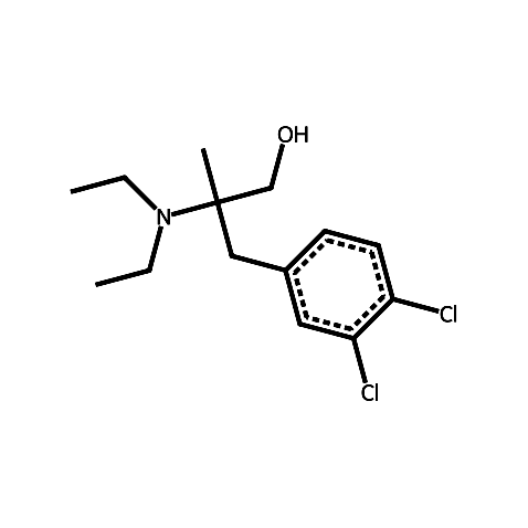 CCN(CC)C(C)(CO)Cc1ccc(Cl)c(Cl)c1